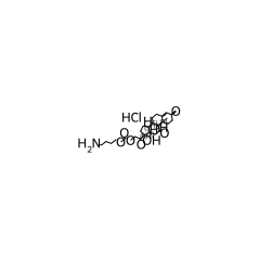 C[C@]12CCC(=O)C=C1CC[C@@H]1[C@@H]2C(=O)C[C@@]2(C)[C@H]1CC[C@]2(O)C(=O)COC(=O)OCCCCN.Cl